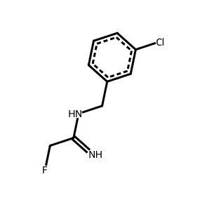 N=C(CF)NCc1cccc(Cl)c1